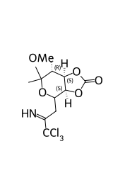 CO[C@@H]1[C@H]2OC(=O)O[C@H]2C(CC(=N)C(Cl)(Cl)Cl)OC1(C)C